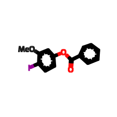 COc1cc(OC(=O)c2ccccc2)ccc1I